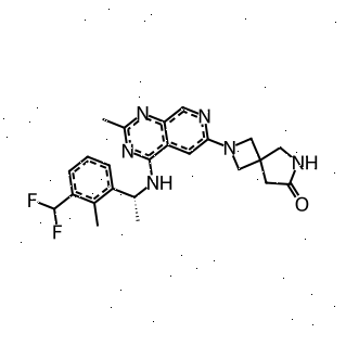 Cc1nc(N[C@H](C)c2cccc(C(F)F)c2C)c2cc(N3CC4(CNC(=O)C4)C3)ncc2n1